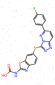 O=C(O)Nc1nc2ccc(Sc3nnc4ccc(-c5ccc(F)cc5)nn34)cc2s1